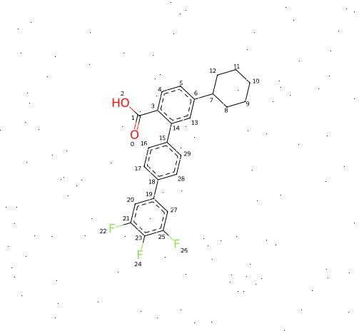 O=C(O)c1ccc(C2CCCCC2)cc1-c1ccc(-c2cc(F)c(F)c(F)c2)cc1